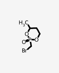 CC1CCOP(=O)(CBr)O1